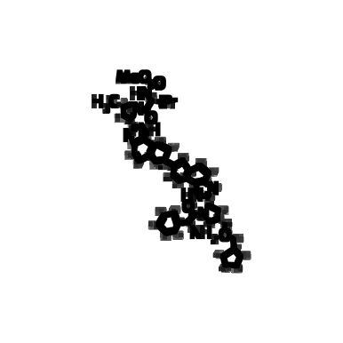 COC(=O)N[C@H](C(=O)N1C[C@@H](C)C[C@H]1c1nc2ccc3cc(-c4ccc5c(ccc6nc([C@@H]7C[C@H](COCC8CCCC8)CN7C(=O)[C@H](N)c7ccccc7)[nH]c65)c4)ccc3c2[nH]1)C(C)C